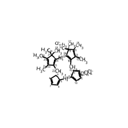 C1=CC[C]([Hf+2][C]2=CC=CC2)=C1.CC1=C(C)C(C)(C)[C]([Hf+2][C]2=C(C)C(C)=C(C)C2(C)C)=C1C.[Cl-].[Cl-].[Cl-].[Cl-]